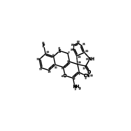 N#CC1=C(N)OC2=C(CSc3c(F)cccc32)C12C(=O)Nc1ccccc12